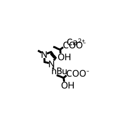 CC(O)C(=O)[O-].CC(O)C(=O)[O-].CCCCN1C=CN(C)C1.[Ca+2]